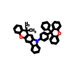 CC1(C)c2ccccc2Oc2cc3c4ccccc4n(-c4ccc(C5(c6ccccc6)c6ccccc6Oc6ccccc65)cc4)c3cc21